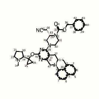 Cc1cccc2cccc(N3CCc4c(nc(OC5([C@@H]6CCCN6C)CC5)nc4N4CCN(C(=O)OCc5ccccc5)[C@@H](CC#N)C4)C3)c12